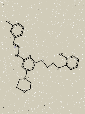 Cc1cccc(/C=N/Nc2cc(N3CCOCC3)cc(OCCOc3cccc[n+]3[O-])n2)c1